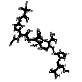 CON=C(Cn1nnnc1SCC1=C(C(=O)O)N2C(=O)C(NC(=O)C(=NOC)c3csc(NC(=O)C(F)(F)F)n3)[C@@H]2SC1)C(=O)O